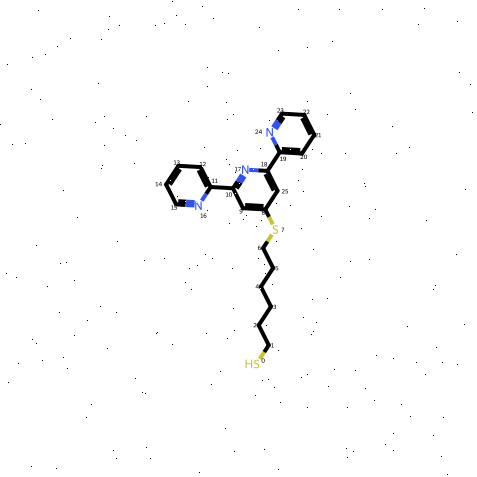 SCCCCCCSc1cc(-c2ccccn2)nc(-c2ccccn2)c1